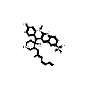 C=C/C=C\C=C(/C)CC1CNCCC1(O)C(c1ccc(Cl)cc1)c1cc2cc(S(C)(=O)=O)ccc2nc1OC